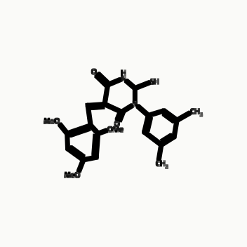 COc1cc(OC)c(/C=C2/C(=O)NC(S)N(c3cc(C)cc(C)c3)C2=O)c(OC)c1